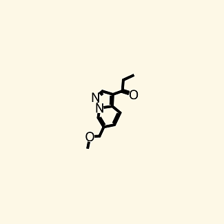 CCC(=O)c1cnn2cc(COC)ccc12